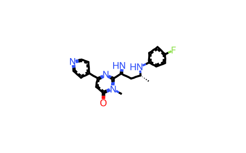 C[C@H](CC(=N)c1nc(-c2ccncc2)cc(=O)n1C)Nc1ccc(F)cc1